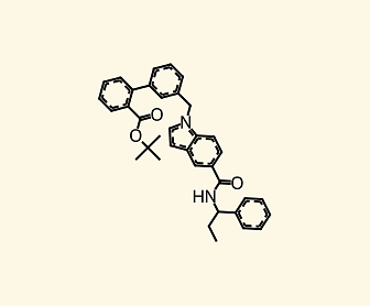 CCC(NC(=O)c1ccc2c(ccn2Cc2cccc(-c3ccccc3C(=O)OC(C)(C)C)c2)c1)c1ccccc1